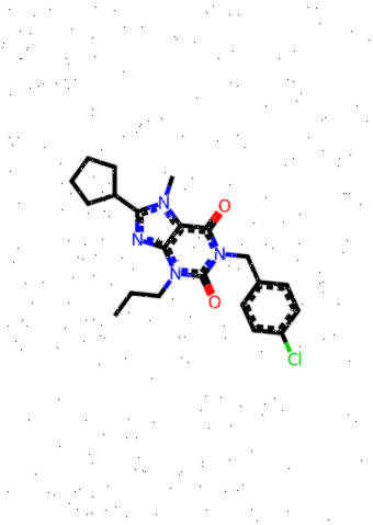 CCCn1c(=O)n(Cc2ccc(Cl)cc2)c(=O)c2c1nc(C1CCCC1)n2C